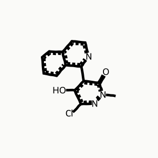 Cn1nc(Cl)c(O)c(-c2nccc3ccccc23)c1=O